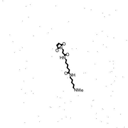 CNCCCCCNC(=O)CCCCCNC(=O)CCN1C(=O)C=CC1=O